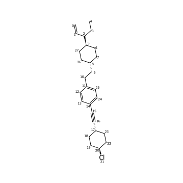 C=CC(CC)[C@H]1CC[C@H](CCc2ccc(C#C[C@H]3CC[C@H](Cl)CC3)cc2)CC1